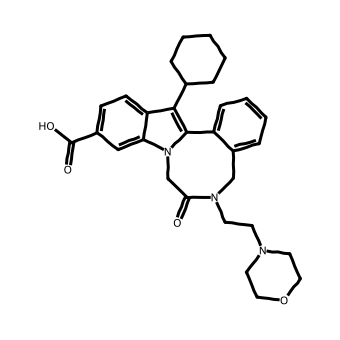 O=C(O)c1ccc2c(C3CCCCC3)c3n(c2c1)CC(=O)N(CCN1CCOCC1)Cc1ccccc1-3